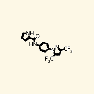 O=C(Nc1ccc(-n2nc(C(F)(F)F)cc2C(F)(F)F)cc1)c1ccc[nH]1